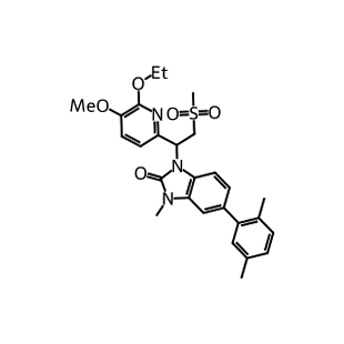 CCOc1nc(C(CS(C)(=O)=O)n2c(=O)n(C)c3cc(-c4cc(C)ccc4C)ccc32)ccc1OC